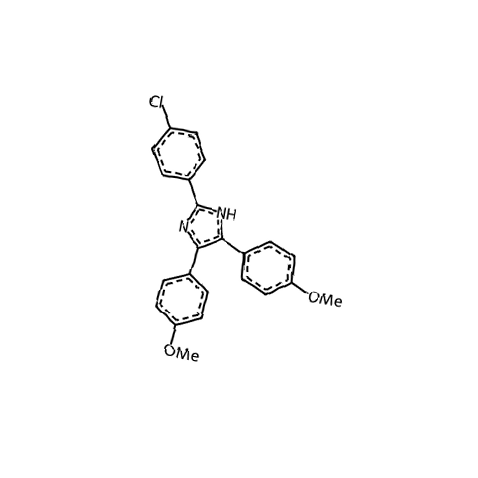 COc1ccc(-c2nc(-c3ccc(Cl)cc3)[nH]c2-c2ccc(OC)cc2)cc1